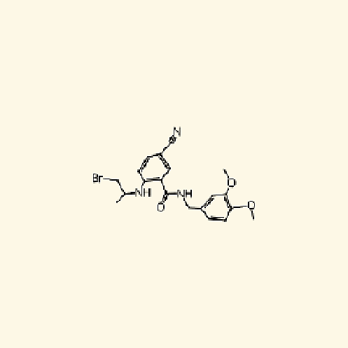 COc1ccc(CNC(=O)c2cc(C#N)ccc2NC(C)CBr)cc1OC